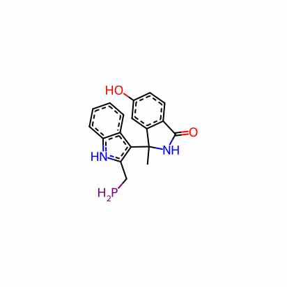 CC1(c2c(CP)[nH]c3ccccc23)NC(=O)c2ccc(O)cc21